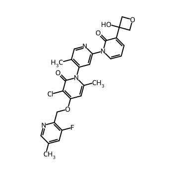 Cc1cnc(COc2cc(C)n(-c3cc(-n4cccc(C5(O)COC5)c4=O)ncc3C)c(=O)c2Cl)c(F)c1